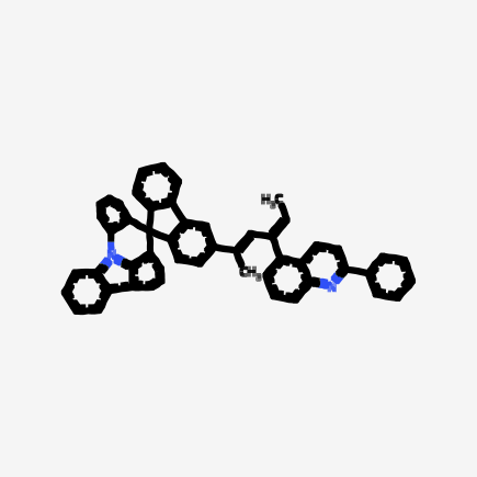 C/C=C(\C=C(/C)c1ccc2c(c1)-c1ccccc1C21c2ccccc2-n2c3ccccc3c3cccc1c32)c1cccc2nc(-c3ccccc3)ccc12